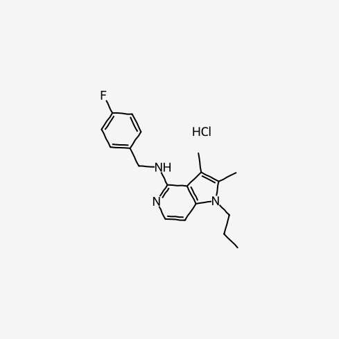 CCCn1c(C)c(C)c2c(NCc3ccc(F)cc3)nccc21.Cl